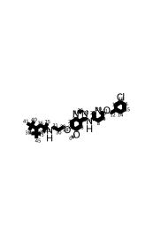 COc1cc2c(Nc3ccc(OCc4cccc(Cl)c4)nc3)ncnc2cc1OCCCNC(C)(C)C[C](C(C)(C)C)C(C)(C)C